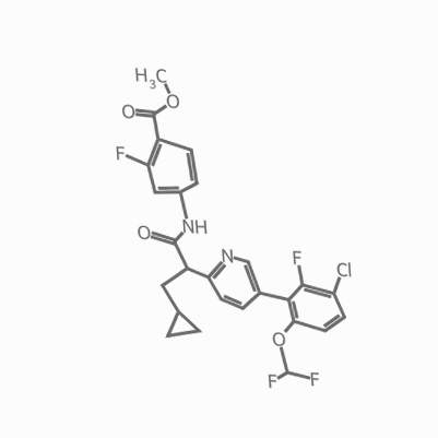 COC(=O)c1ccc(NC(=O)C(CC2CC2)c2ccc(-c3c(OC(F)F)ccc(Cl)c3F)cn2)cc1F